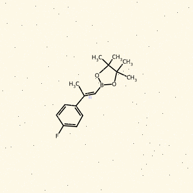 C/C(=C\B1OC(C)(C)C(C)(C)O1)c1ccc(F)cc1